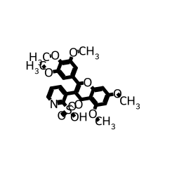 COc1cc(OC)c2c(=O)c(-c3cccnc3S(=O)(=O)O)c(-c3cc(OC)c(OC)c(OC)c3)oc2c1